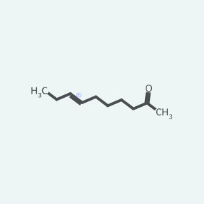 CC/C=C/CCCCC(C)=O